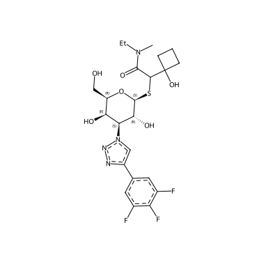 CCN(C)C(=O)C(S[C@@H]1O[C@H](CO)[C@H](O)[C@H](n2cc(-c3cc(F)c(F)c(F)c3)nn2)[C@H]1O)C1(O)CCC1